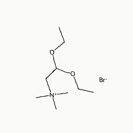 CCOC(C[N+](C)(C)C)OCC.[Br-]